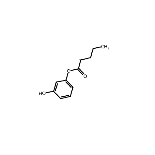 CCC[CH]C(=O)Oc1cccc(O)c1